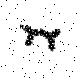 Cc1ccc(N(c2ccc(-c3ccccc3)cc2)c2ccc(-c3ccc(-c4ccc(N(c5ccc(-c6ccccc6)cc5)c5ccc(C(F)(F)F)cc5)cc4)o3)cc2)cc1